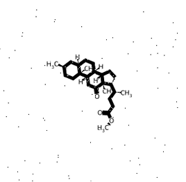 COC(=O)CC[C@@H](C)[C@H]1CC[C@H]2[C@@H]3CC[C@@H]4C[C@H](C)CC[C@]4(C)[C@H]3CC(=O)[C@]12C